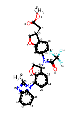 COC(=O)C[C@@H]1COc2cc(N(C(=O)C(F)(F)F)[C@H]3COc4c3cccc4-n3c(C)nc4ccccc43)ccc21